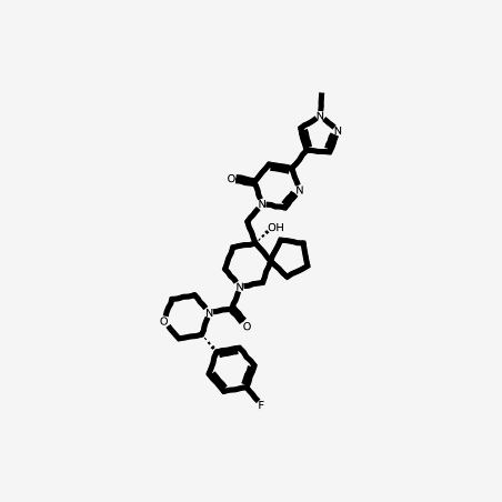 Cn1cc(-c2cc(=O)n(C[C@]3(O)CCN(C(=O)N4CCOC[C@H]4c4ccc(F)cc4)CC34CCCC4)cn2)cn1